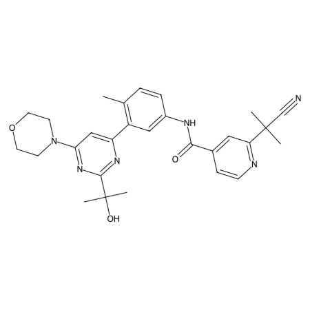 Cc1ccc(NC(=O)c2ccnc(C(C)(C)C#N)c2)cc1-c1cc(N2CCOCC2)nc(C(C)(C)O)n1